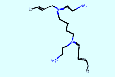 CCC=CCN(CCN)CCCCN(CC=CCC)CCN